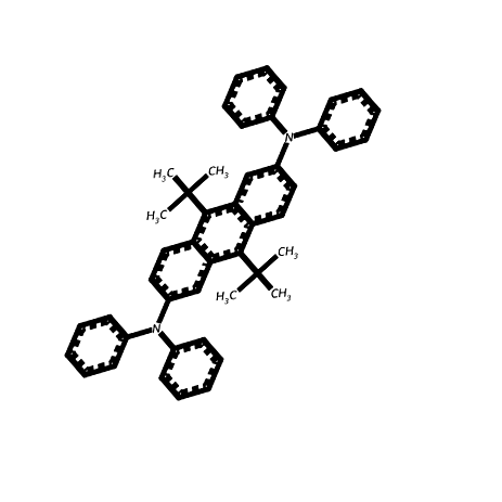 CC(C)(C)c1c2ccc(N(c3ccccc3)c3ccccc3)cc2c(C(C)(C)C)c2ccc(N(c3ccccc3)c3ccccc3)cc12